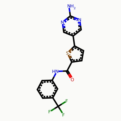 Nc1ncc(-c2ccc(C(=O)Nc3cccc(C(F)(F)F)c3)s2)cn1